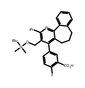 CC(C)c1nc2c(c(-c3ccc(F)c(C(=O)O)c3)c1CO[Si](C)(C)C(C)(C)C)CCCc1ccccc1-2